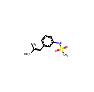 CC(=Cc1cccc(NS(C)(=O)=O)c1)C(=O)O